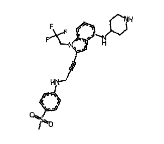 CS(=O)(=O)c1ccc(NCC#Cc2cc3c(NC4CCNCC4)cccc3n2CC(F)(F)F)cc1